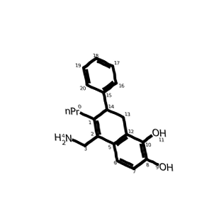 CCCC1=C(CN)c2ccc(O)c(O)c2CC1c1ccccc1